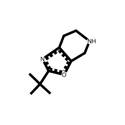 CC(C)(C)c1nc2c(o1)CNCC2